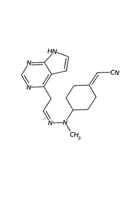 CN(/N=C\Cc1ncnc2[nH]ccc12)C1CCC(=CC#N)CC1